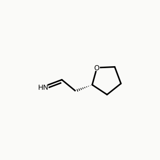 N=CC[C@H]1CCCO1